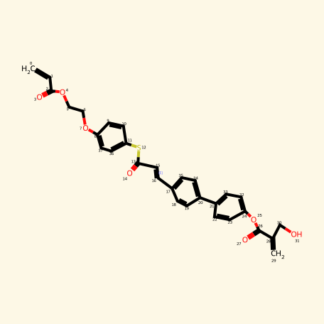 C=CC(=O)OCCOc1ccc(SC(=O)/C=C/c2ccc(-c3ccc(OC(=O)C(=C)CO)cc3)cc2)cc1